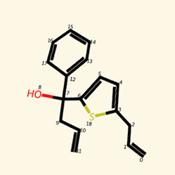 C=CCc1ccc(C(O)(CC=C)c2ccccc2)s1